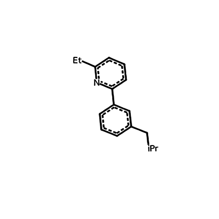 CCc1cccc(-c2cccc(CC(C)C)c2)n1